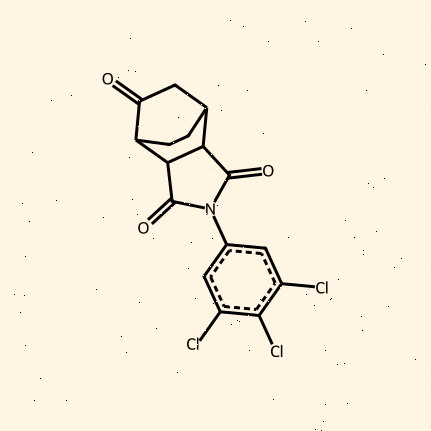 O=C1CC2CCC1C1C(=O)N(c3cc(Cl)c(Cl)c(Cl)c3)C(=O)C21